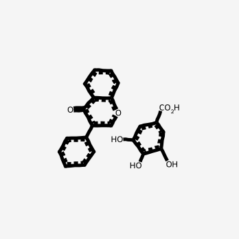 O=C(O)c1cc(O)c(O)c(O)c1.O=c1c(-c2ccccc2)coc2ccccc12